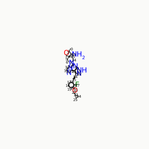 C[C@@H]1OCC2(CCN(c3nc4[nH]nc(C#Cc5cccc(OCC6CC6)c5F)c4c4nccn34)CC2)[C@@H]1N